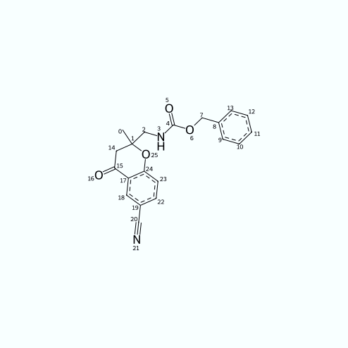 CC1(CNC(=O)OCc2ccccc2)CC(=O)c2cc(C#N)ccc2O1